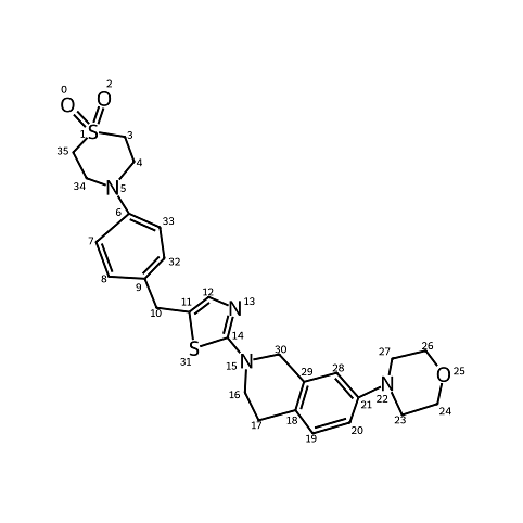 O=S1(=O)CCN(c2ccc(Cc3cnc(N4CCc5ccc(N6CCOCC6)cc5C4)s3)cc2)CC1